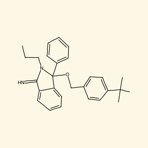 CCCN1C(=N)c2ccccc2C1(OCc1ccc(C(C)(C)C)cc1)c1ccccc1